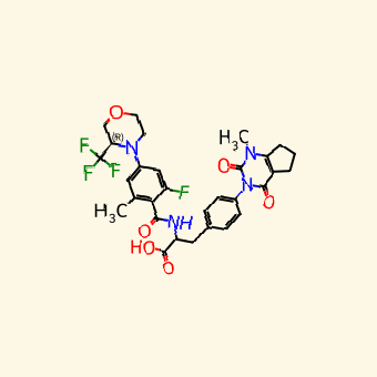 Cc1cc(N2CCOC[C@@H]2C(F)(F)F)cc(F)c1C(=O)NC(Cc1ccc(-n2c(=O)c3c(n(C)c2=O)CCC3)cc1)C(=O)O